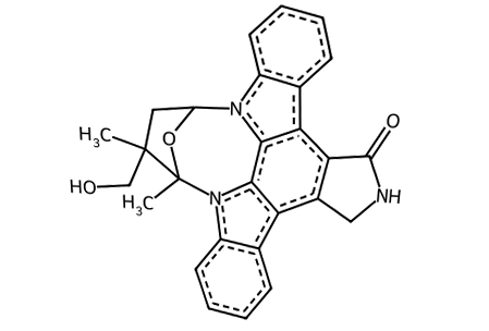 CC1(CO)CC2OC1(C)n1c3ccccc3c3c4c(c5c6ccccc6n2c5c31)C(=O)NC4